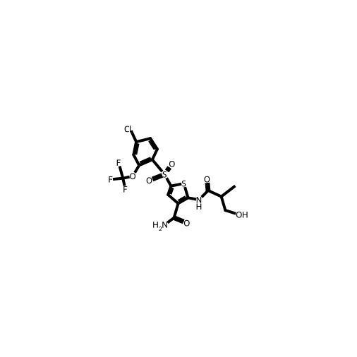 CC(CO)C(=O)Nc1sc(S(=O)(=O)c2ccc(Cl)cc2OC(F)(F)F)cc1C(N)=O